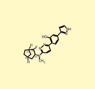 CN(c1ccc(-c2ccc(-c3cc[nH]n3)cc2O)nn1)[C@H]1C[C@@H]2CC[C@@H](C2)[C@H]1F